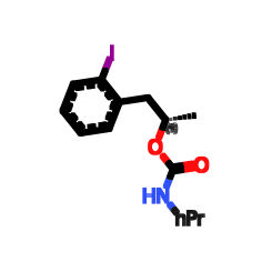 CCCNC(=O)O[C@@H](C)Cc1ccccc1I